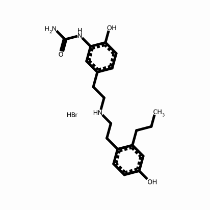 Br.CCCc1cc(O)ccc1CCNCCc1ccc(O)c(NC(N)=O)c1